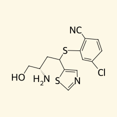 N#Cc1ccc(Cl)cc1SC(C[C@H](N)CO)c1cncs1